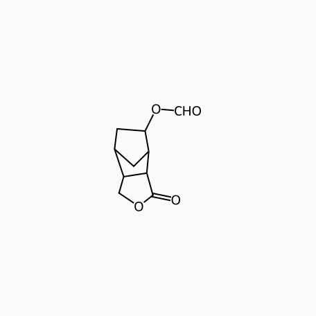 O=COC1CC2CC1C1C(=O)OCC21